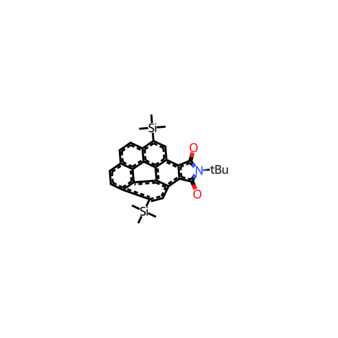 CC(C)(C)n1c(=O)c2c3cc([Si](C)(C)C)c4ccc5ccc6c([Si](C)(C)C)cc(c2c1=O)c1c6c5c4c31